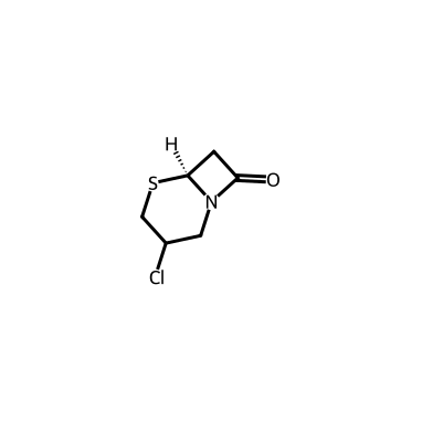 O=C1C[C@@H]2SCC(Cl)CN12